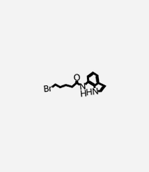 O=C(CCCCBr)Nc1cccc2cc[nH]c12